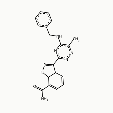 Cc1nnc(C2=NOC3C(C(N)=O)=CC=CC23)nc1NCc1ccccc1